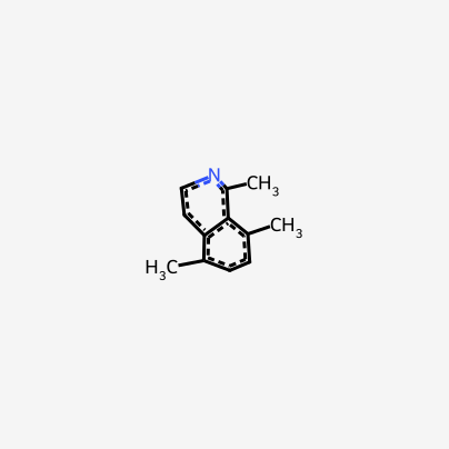 Cc1ccc(C)c2c(C)nccc12